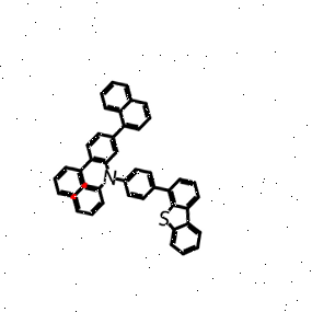 c1ccc(-c2ccc(-c3cccc4ccccc34)cc2N(c2ccccc2)c2ccc(-c3cccc4c3sc3ccccc34)cc2)cc1